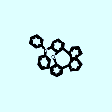 c1ccc(N(c2ccccc2)c2cccc3c2Oc2ccccc2-c2cccc4cccc-3c24)cc1